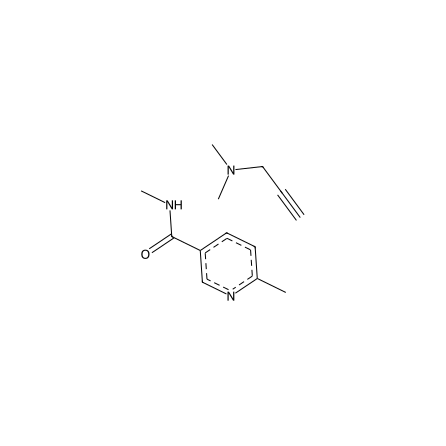 C#CCN(C)C.CNC(=O)c1ccc(C)nc1